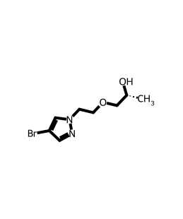 C[C@@H](O)COCCn1cc(Br)cn1